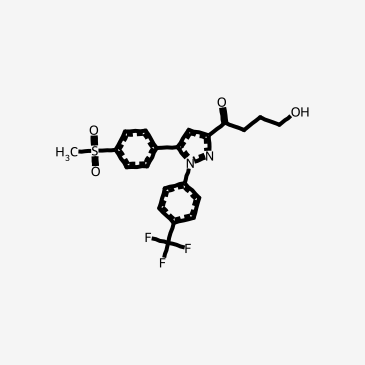 CS(=O)(=O)c1ccc(-c2cc(C(=O)CCCO)nn2-c2ccc(C(F)(F)F)cc2)cc1